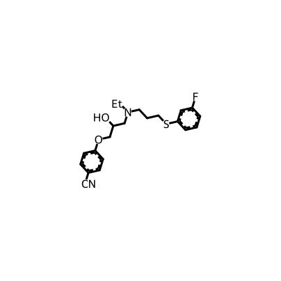 CCN(CCCSc1cccc(F)c1)CC(O)COc1ccc(C#N)cc1